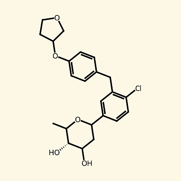 CC1OC(c2ccc(Cl)c(Cc3ccc(OC4CCOC4)cc3)c2)CC(O)[C@@H]1O